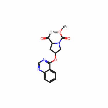 COC(=O)C1CC(Oc2ncnc3ccccc23)CN1C(=O)OC(C)(C)C